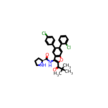 CC(C)(C)C(=O)c1oc2cc(-c3ccccc3Cl)c(-c3ccc(Cl)cc3)cc2c1NC(=O)[C@@H]1CCCN1